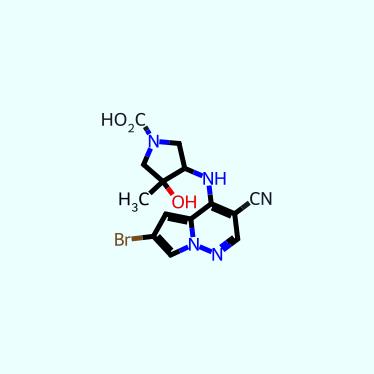 CC1(O)CN(C(=O)O)CC1Nc1c(C#N)cnn2cc(Br)cc12